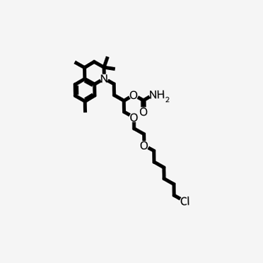 Cc1ccc2c(c1)N(CCC(COCCOCCCCCCCl)OC(N)=O)C(C)(C)CC2C